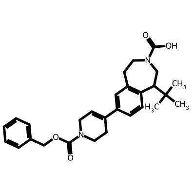 CC(C)(C)C1CN(C(=O)O)CCc2cc(C3=CCN(C(=O)OCc4ccccc4)CC3)ccc21